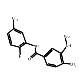 Cc1ccc(C(=O)Nc2cc(C(F)(F)F)ccc2F)cc1NC(C)(C)C